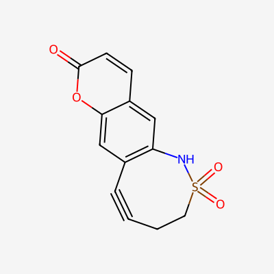 O=c1ccc2cc3c(cc2o1)C#CCCS(=O)(=O)N3